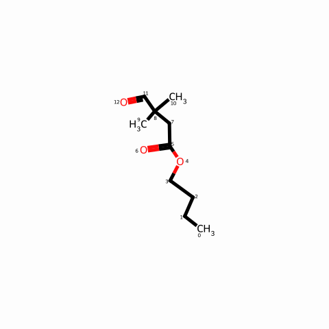 CCCCOC(=O)CC(C)(C)C=O